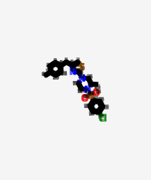 Cc1ccc(Cc2csc(N3CCN(S(=O)(=O)c4ccc(Cl)cc4)C(C)C3)n2)cc1